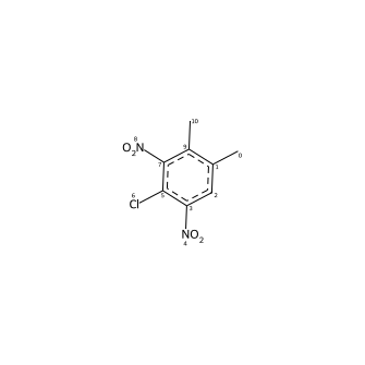 Cc1cc([N+](=O)[O-])c(Cl)c([N+](=O)[O-])c1C